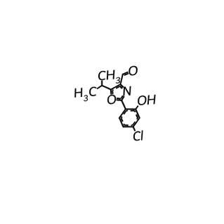 CC(C)c1oc(-c2ccc(Cl)cc2O)nc1C=O